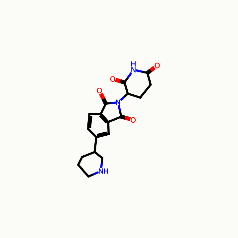 O=C1CCC(N2C(=O)c3ccc(C4CCCNC4)cc3C2=O)C(=O)N1